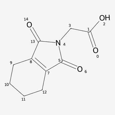 O=C(O)CN1C(=O)C2=C(CCCC2)C1=O